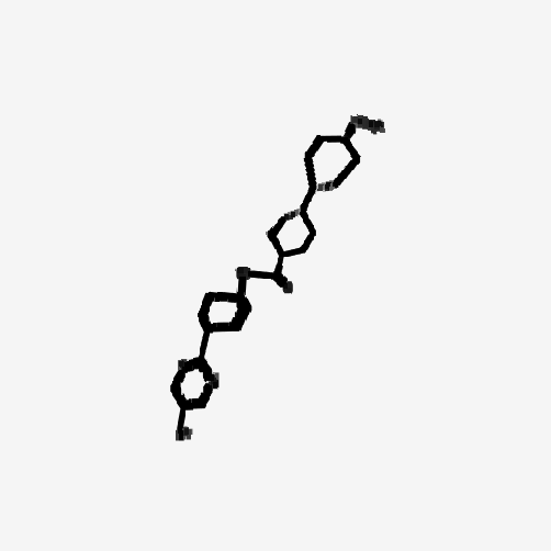 CCCCCCC[C@H]1CC[C@H]([C@H]2CC[C@H](C(=O)Oc3ccc(-c4ncc(CCC)cn4)cc3)CC2)CC1